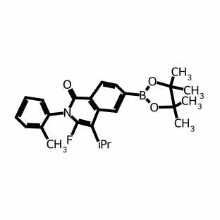 Cc1ccccc1-n1c(F)c(C(C)C)c2cc(B3OC(C)(C)C(C)(C)O3)ccc2c1=O